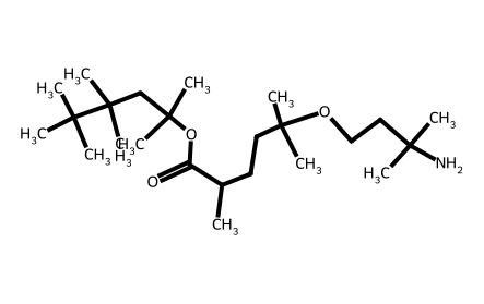 CC(CCC(C)(C)OCCC(C)(C)N)C(=O)OC(C)(C)CC(C)(C)C(C)(C)C